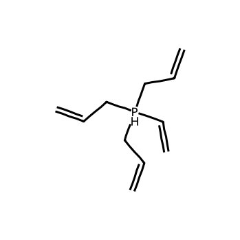 C=CC[PH](C=C)(CC=C)CC=C